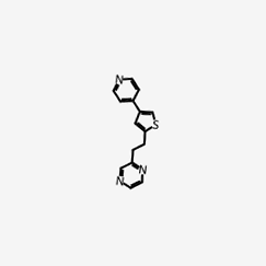 c1cc(-c2csc(CCc3cnccn3)c2)ccn1